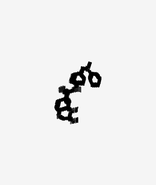 CN(Cc1ccc(NC(=O)c2ccc3c(c2)NC(=N)CS3)cc1)c1ccccc1